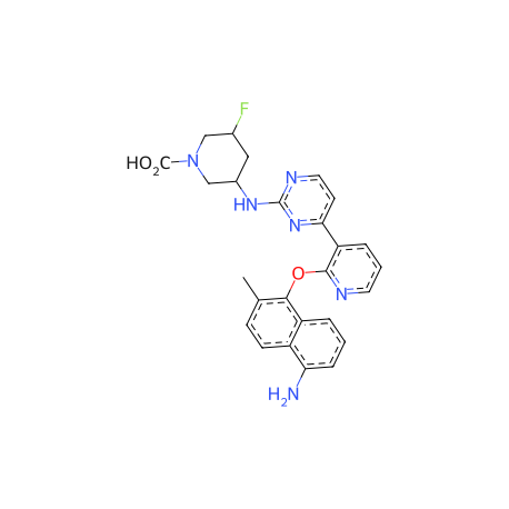 Cc1ccc2c(N)cccc2c1Oc1ncccc1-c1ccnc(NC2CC(F)CN(C(=O)O)C2)n1